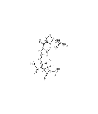 C[C@@H](O)[C@H]1C(=O)N2C(C(=O)O)=C(S[C@H]3C[C@@H](C(=O)N4CC[C@@H](NC(=N)N)C4)N(C)C3)[C@H](C)[C@H]12